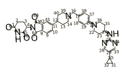 O=C1CCC(N2C(=O)c3ccc(C4CCN(Cc5ccc(N6CCC(Nc7ncc(C8CC8)cn7)CC6)cc5)CC4)cc3C2=O)C(=O)N1